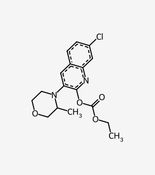 CCOC(=O)Oc1nc2cc(Cl)ccc2cc1N1CCOCC1C